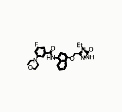 CCn1c(COc2ccc(NC(=O)c3cc(F)cc(N4CCOCC4)c3)c3ccccc23)n[nH]c1=O